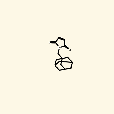 O=C1C=CC(=O)N1CC12CC3CC(CC(C3)C1)C2